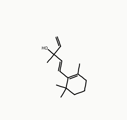 [CH]=CC(C)(O)C=CC1=C(C)CCCC1(C)C